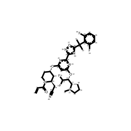 C=CC(=O)N1CC[C@H](Oc2cc(O[C@@H](C(F)F)[C@@H]3CCCN3C)nc(-c3noc(C(C)(C)c4c(F)cccc4F)n3)n2)C[C@H]1CC#N